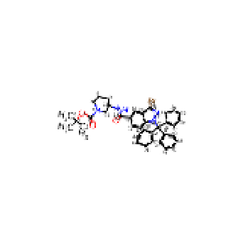 CC(C)(C)OC(=O)N1CCCC(NC(=O)c2ccc3c(c2)c(Br)nn3C(c2ccccc2)(c2ccccc2)c2ccccc2)C1